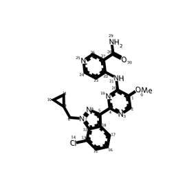 COc1cnc(-c2nn(CC3CC3)c3c(Cl)cccc23)nc1Nc1ccncc1C(N)=O